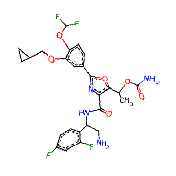 CC(OC(N)=O)c1oc(-c2ccc(OC(F)F)c(OCC3CC3)c2)nc1C(=O)NC(CN)c1ccc(F)cc1F